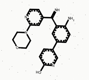 N=C(c1ccnc(N2CCOCC2)c1)c1cc(-c2ccc(O)nc2)ccc1N